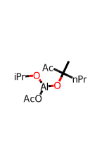 CCCC(C)([O][Al]([O]C(C)=O)[O]C(C)C)C(C)=O